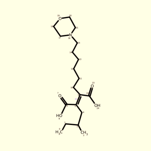 CCC(C)C/C(C(=O)O)=C(/CCCCCCN1CCOCC1)C(=O)O